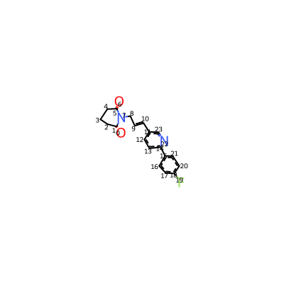 O=C1CCCC(=O)N1CC=Cc1ccc(-c2ccc(F)cc2)nc1